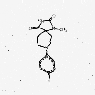 CN1C(=O)NC(=O)C12CCN(c1ccc(I)cc1)CC2